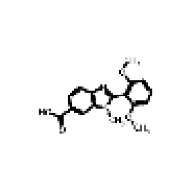 COc1cccc(OC)c1-c1nc2ccc(C(=O)O)cc2n1C